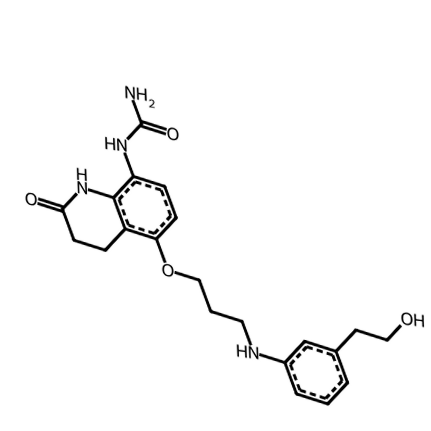 NC(=O)Nc1ccc(OCCCNc2cccc(CCO)c2)c2c1NC(=O)CC2